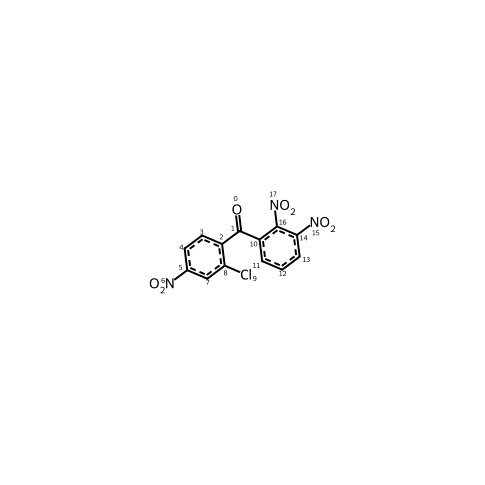 O=C(c1ccc([N+](=O)[O-])cc1Cl)c1cccc([N+](=O)[O-])c1[N+](=O)[O-]